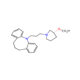 O=C(O)O[C@@H]1CCCN(CCCN2c3ccccc3CCCc3ccccc32)C1